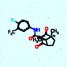 CC1(C)C2CC[C@@]1(C)C(=O)C(C(=O)Nc1ccc(F)c(C(F)(F)F)c1)C2=O